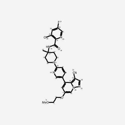 COCCOc1cc(-c2ccc(N3CCC(C)(NC(=O)c4ncc(F)cc4Cl)CC3)nc2)c2c(C#N)cnn2c1